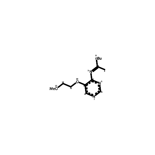 CCCC/C(C)=N/c1ncncc1OCCOC